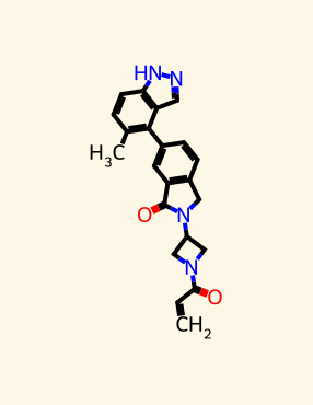 C=CC(=O)N1CC(N2Cc3ccc(-c4c(C)ccc5[nH]ncc45)cc3C2=O)C1